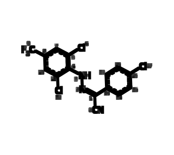 N#CC(=NNc1c(Cl)cc(C(F)(F)F)cc1Cl)c1ccc(Cl)cc1